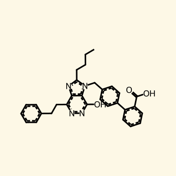 CCCCc1nc2c(CCc3ccccc3)nnc(O)c2n1Cc1ccc(-c2ccccc2C(=O)O)cc1